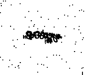 C[C@@H](c1ccc(C2NC[C@H]2C(=N)C(=O)NC(C)(C)C)cc1)N1CC[C@](CC(C)(C)O)(c2ccccc2)OC1=O